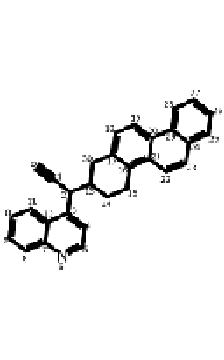 C#CC(c1ccnc2ccccc12)C1CCc2c(ccc3c2ccc2ccccc23)C1